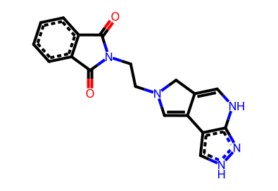 O=C1c2ccccc2C(=O)N1CCN1C=C2C(=CNc3n[nH]cc32)C1